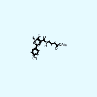 COC(=O)CCCNC(=O)c1cc(-c2ccc(C#N)cc2)nn(C)c1=O